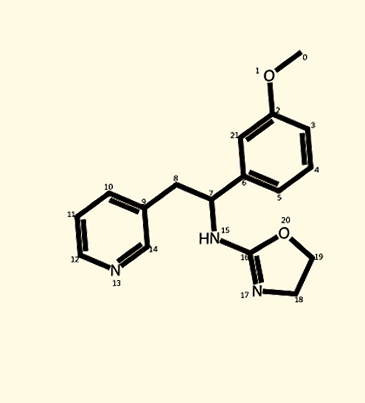 COc1cccc(C(Cc2cccnc2)NC2=NCCO2)c1